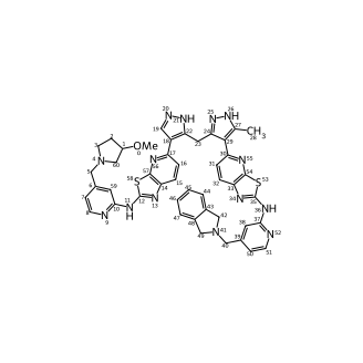 COC1CCN(Cc2ccnc(Nc3nc4ccc(-c5cn[nH]c5Cc5n[nH]c(C)c5-c5ccc6nc(Nc7cc(CN8Cc9ccccc9C8)ccn7)sc6n5)nc4s3)c2)C1